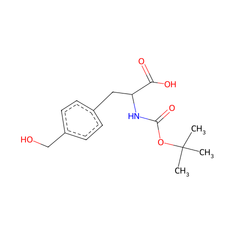 CC(C)(C)OC(=O)NC(Cc1ccc(CO)cc1)C(=O)O